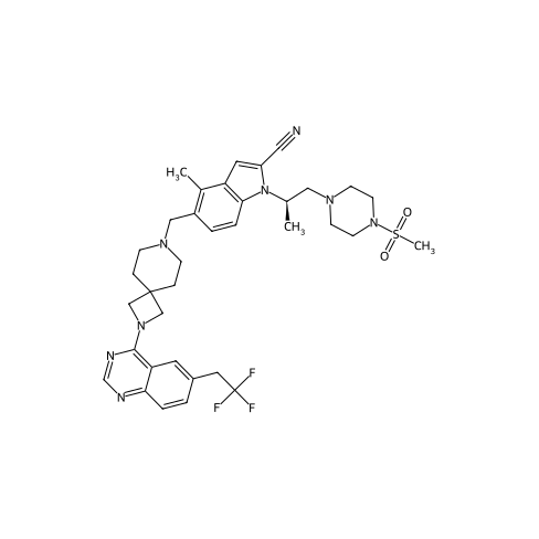 Cc1c(CN2CCC3(CC2)CN(c2ncnc4ccc(CC(F)(F)F)cc24)C3)ccc2c1cc(C#N)n2[C@H](C)CN1CCN(S(C)(=O)=O)CC1